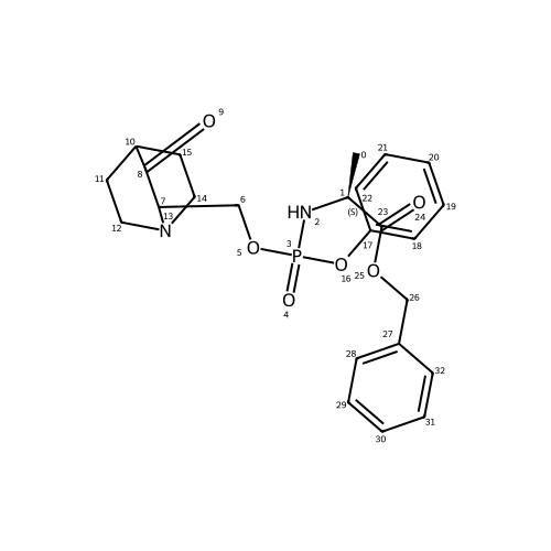 C[C@H](NP(=O)(OCC1C(=O)C2CCN1CC2)Oc1ccccc1)C(=O)OCc1ccccc1